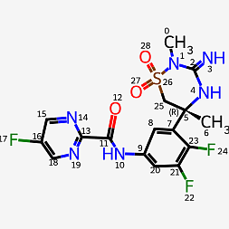 CN1C(=N)N[C@](C)(c2cc(NC(=O)c3ncc(F)cn3)cc(F)c2F)CS1(=O)=O